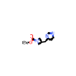 CC(C)(C)OC(=O)N1CC(Cc2ccncn2)C1